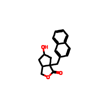 O=C1OCC2CC(O)CC12Cc1ccc2ccccc2c1